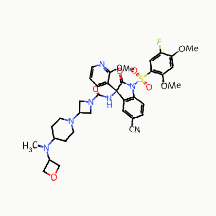 COc1cc(OC)c(S(=O)(=O)N2C(=O)[C@@](NC(=O)N3CC(N4CCC(N(C)C5COC5)CC4)C3)(c3cccnc3OC)c3cc(C#N)ccc32)cc1F